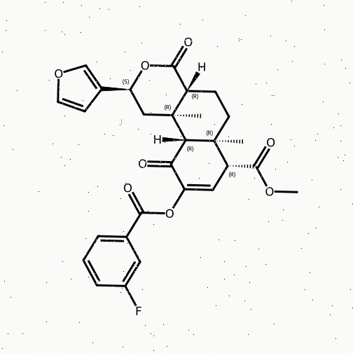 COC(=O)[C@@H]1C=C(OC(=O)c2cccc(F)c2)C(=O)[C@H]2[C@@]1(C)CC[C@H]1C(=O)O[C@H](c3ccoc3)C[C@]21C